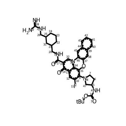 CC(C)(C)OC(=O)NC1CCN(c2c(F)cc3c(=O)c(C(=O)NCC4CCCC(CNC(=N)N)C4)cn4c3c2Oc2cc3ccccc3cc2-4)C1